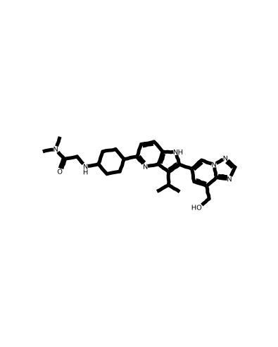 CC(C)c1c(-c2cc(CO)c3ncnn3c2)[nH]c2ccc(C3CCC(NCC(=O)N(C)C)CC3)nc12